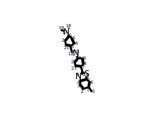 Cc1ccc2nc(-c3ccc(/N=C/c4ccc(N(C)C)cc4)cc3)sc2c1